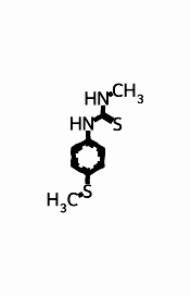 CNC(=S)Nc1ccc(SC)cc1